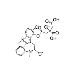 CNC(Cc1c2n(c3ccc(Cl)c(OC(=O)CC(O)(CC(=O)O)C(=O)O)c13)Cc1ccccc1-2)C1CC1